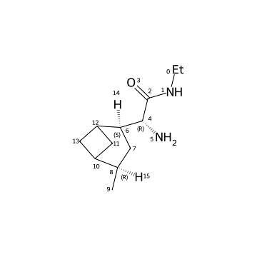 CCNC(=O)[C@H](N)[C@H]1C[C@@H](C)C2CC1C2